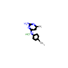 Cc1ccc(Nc2cc(C)nc(N)n2)cc1.Cl